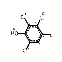 Cc1cc(Cl)c(O)c(Cl)c1Cl